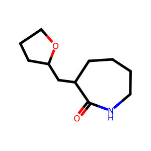 O=C1NCCCCC1CC1CCCO1